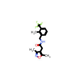 Cc1noc(C)c1CC(=O)NCc1cccc(C(F)(F)F)c1C